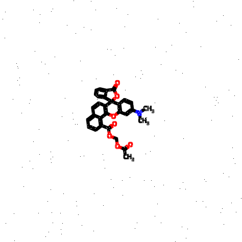 CC(=O)OCOC(=O)c1cccc2ccc3c(c12)Oc1cc(N(C)C)ccc1C31OC(=O)c2ccccc21